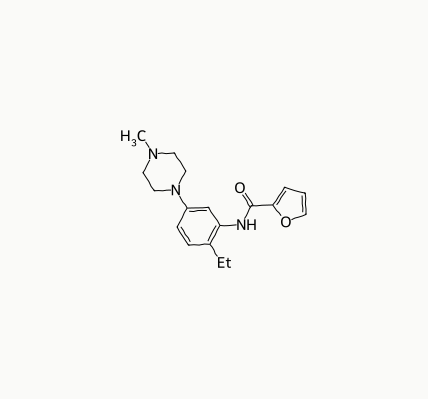 CCc1ccc(N2CCN(C)CC2)cc1NC(=O)c1ccco1